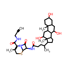 C#CCNC(=O)C1=C(C)CSC2C(NC(=O)CCC(C)C3CCC4C5C(O)CC6CC(O)CCC6(C)C5CC(O)C34C)C(=O)N12